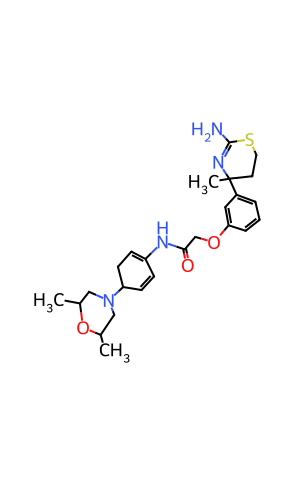 CC1CN(C2C=CC(NC(=O)COc3cccc(C4(C)CCSC(N)=N4)c3)=CC2)CC(C)O1